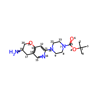 CC(C)(C)OC(=O)N1CCN(c2cc3c(cn2)C[C@@H](N)CO3)CC1